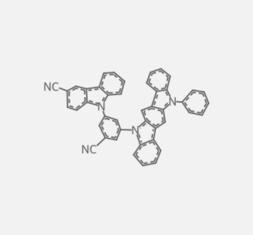 N#Cc1cc(-n2c3ccccc3c3cc(C#N)ccc32)cc(-n2c3ccccc3c3cc4c(cc32)c2ccccc2n4-c2ccccc2)c1